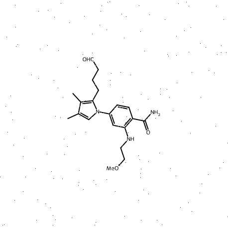 COCCNc1cc(-n2cc(C)c(C)c2CCCC=O)ccc1C(N)=O